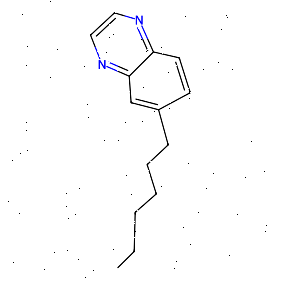 CCCCCCc1ccc2nccnc2c1